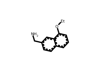 CCOc1cccc2ccc(CN)cc12